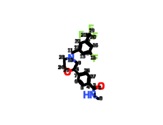 CNC(=O)c1ccc([C@@H]2CN(Cc3cc(F)cc(C(F)(F)F)c3)CCO2)cc1